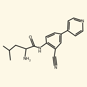 CC(C)CC(N)C(=O)Nc1ccc(-c2ccncc2)cc1C#N